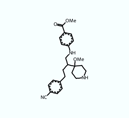 COC(=O)c1ccc(NCC(CCc2ccc(C#N)cc2)C2(OC)CCNCC2)cc1